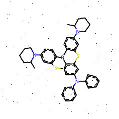 CC1CCCCN1c1ccc2c(c1)Sc1cc(N(c3ccccc3)c3ccccc3)cc3c1B2c1ccc(N2CCCCC2C)cc1S3